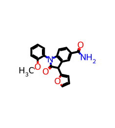 COc1ccccc1N1C(=O)C(c2ccco2)c2cc(C(N)=O)ccc21